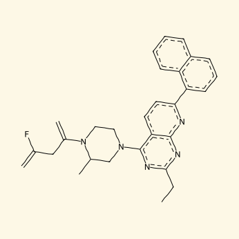 C=C(F)CC(=C)N1CCN(c2nc(CC)nc3nc(-c4cccc5ccccc45)ccc23)CC1C